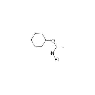 CC[N]C(C)OC1CCCCC1